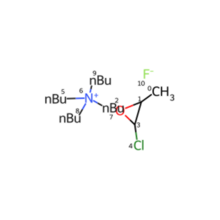 CC1OC1Cl.CCCC[N+](CCCC)(CCCC)CCCC.[F-]